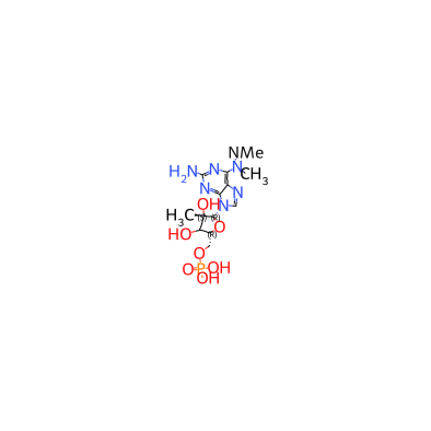 CNN(C)c1nc(N)nc2c1ncn2[C@@H]1O[C@H](COP(=O)(O)O)C(O)[C@]1(C)O